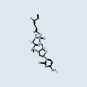 C=C/C(F)=C\C=C(/C)OP(=O)(N[C@@H](C)C(=O)OC)OC[C@H]1O[C@@H](n2ccc(N)nc2=O)C[C@H]1O